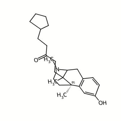 CN1CC[C@]2(C)c3cc(O)ccc3CC1C2(C)CCC(=O)CCC1CCCC1